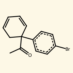 CC(=O)C1(c2ccc(Br)cc2)C=CC=CC1